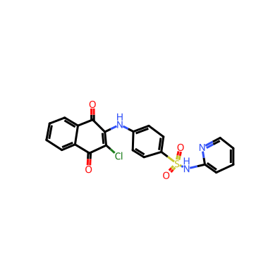 O=C1C(Cl)=C(Nc2ccc(S(=O)(=O)Nc3ccccn3)cc2)C(=O)c2ccccc21